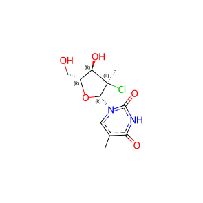 Cc1cn([C@@H]2O[C@H](CO)[C@@H](O)[C@@]2(C)Cl)c(=O)[nH]c1=O